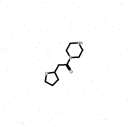 O=C(CC1CCCO1)N1CCNCC1